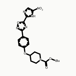 CC(C)(C)OC(=O)N1CCC(Oc2ccc(-c3noc(-c4ncc([N+](=O)[O-])[nH]4)n3)cc2)CC1